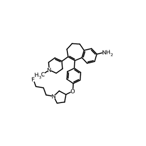 CN1CC=C(C2=C(c3ccc(OC4CCN(CCCF)C4)cc3)c3ccc(N)cc3CCC2)CC1